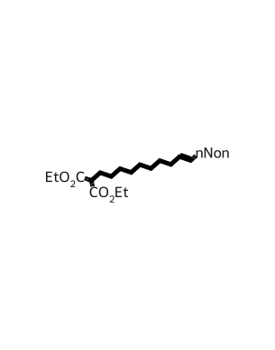 CCCCCCCCCC=CCCCCCCCCC(C(=O)OCC)C(=O)OCC